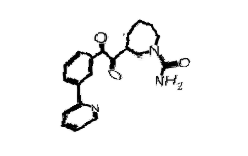 NC(=O)N1CCC[CH]C(C(=O)C(=O)c2cccc(-c3ccccn3)c2)C1